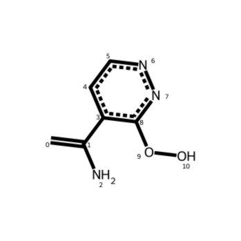 C=C(N)c1ccnnc1OO